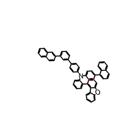 c1cc(-c2ccc(N(c3ccc(-c4cccc5ccccc45)cc3)c3ccccc3-c3cccc4oc5ccccc5c34)cc2)cc(-c2ccc3ccccc3c2)c1